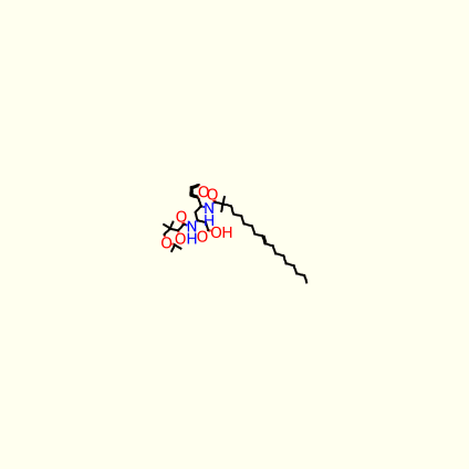 CCCCCCCCC=CCCCCCCC(C)(C)C(=O)NC(CC(CC(=O)O)NC(=O)C1OC(C)(C)OCC1(C)C)c1ccco1